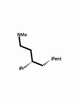 CCC[C@@H](C)C[C@@H](CCNC)C(C)C